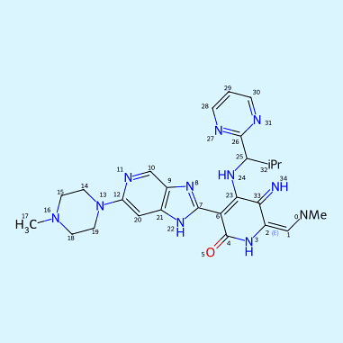 CN/C=C1/NC(=O)C(c2nc3cnc(N4CCN(C)CC4)cc3[nH]2)=C(NC(c2ncccn2)C(C)C)C1=N